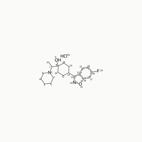 CC(N1CCCCC1)C1(O)CCC(c2noc3cc(F)ccc23)CC1.Cl